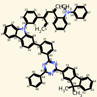 C=C/C(=C\C(=C)c1ccccc1N(C)c1ccccc1)c1cccc(-n2c3ccccc3c3ccc(-c4cccc(-c5nc(-c6ccccc6)nc(-c6ccc7c(c6)C(C)(C)c6ccccc6-7)n5)c4)cc32)c1